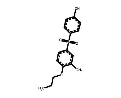 CCCOc1ccc(S(=O)(=O)c2ccc(O)cc2)cc1C